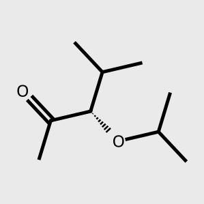 CC(=O)[C@@H](OC(C)C)C(C)C